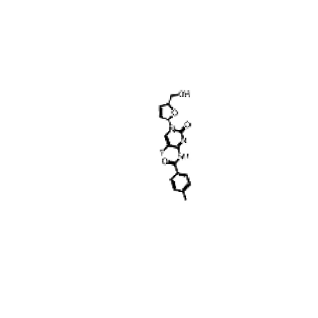 Cc1ccc(C(=O)Nc2nc(=O)n([C@H]3C=C[C@@H](CO)O3)cc2F)cc1